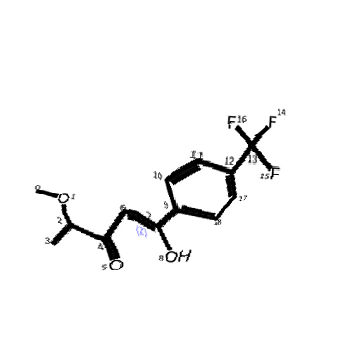 COC(C)C(=O)/C=C(\O)c1ccc(C(F)(F)F)cc1